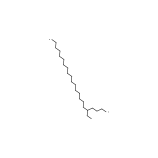 [CH2]CCCCCCCCCCCCCCCCC(CC)CCC[CH2]